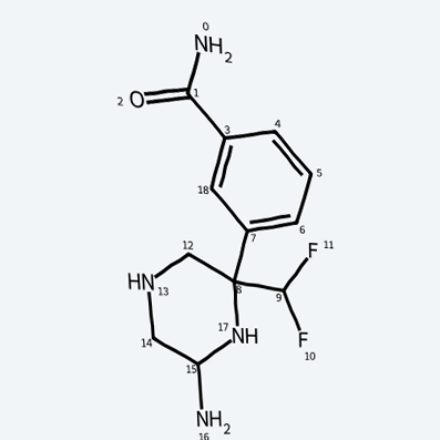 NC(=O)c1cccc(C2(C(F)F)CNCC(N)N2)c1